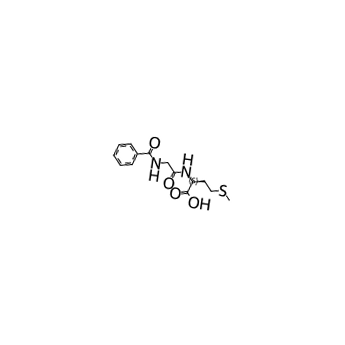 CSCC[C@H](NC(=O)CNC(=O)c1ccccc1)C(=O)O